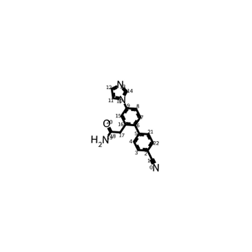 N#Cc1ccc(-c2ccc(-n3ccnc3)cc2CC(N)=O)cc1